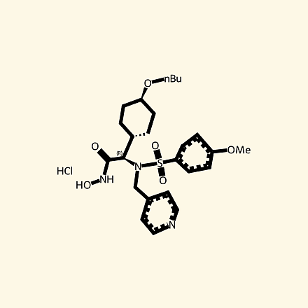 CCCCO[C@H]1CC[C@H]([C@H](C(=O)NO)N(Cc2ccncc2)S(=O)(=O)c2ccc(OC)cc2)CC1.Cl